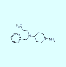 NN1CCC(N(CCC(F)(F)F)Cc2ccccc2)CC1